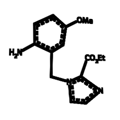 CCOC(=O)c1nccn1Cc1cc(OC)ccc1N